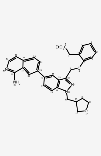 CCOC(=O)Cc1ccccc1OCc1nn(CC2CCOC2)c2ccc(-c3ccc4ccnc(N)c4c3)cc12